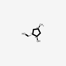 C[C@@H]1C[C@@H](CO)[C@H](O)C1